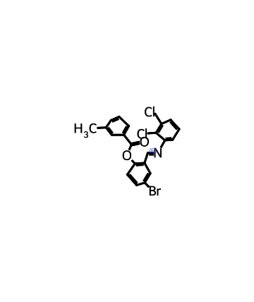 Cc1cccc(C(=O)Oc2ccc(Br)cc2/C=N/c2cccc(Cl)c2Cl)c1